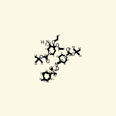 CCOC1(OCC)CCN(C(=O)OC(C)(C)C)CC1N.Cc1ccc(S(=O)(=O)ON=C2CCN(C(=O)OC(C)(C)C)CC2)cc1